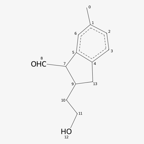 Cc1ccc2c(c1)C(C=O)C(CCO)C2